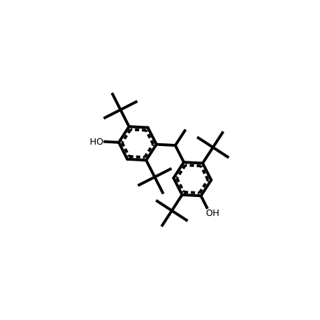 CC(c1cc(C(C)(C)C)c(O)cc1C(C)(C)C)c1cc(C(C)(C)C)c(O)cc1C(C)(C)C